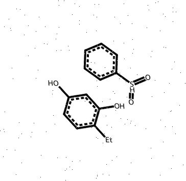 CCc1ccc(O)cc1O.O=[SH](=O)c1ccccc1